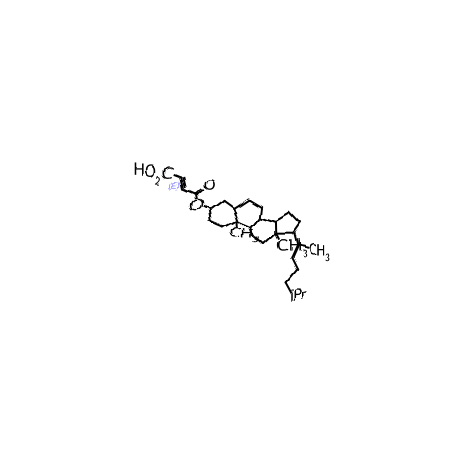 CC(C)CCCC(C)C1CCC2C3CCC4CC(OC(=O)/C=C/C(=O)O)CCC4(C)C3CCC12C